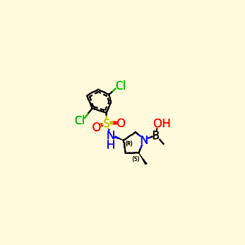 CB(O)N1C[C@H](NS(=O)(=O)c2cc(Cl)ccc2Cl)C[C@@H]1C